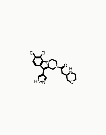 O=C(CC1COCCN1)N1CCn2c(c(-c3cn[nH]c3)c3ccc(Cl)c(Cl)c32)C1